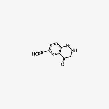 C#Cc1ccc2c(c1)C(=O)CN[N]2